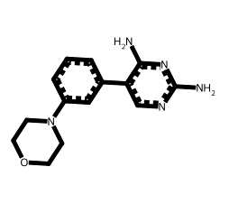 Nc1ncc(-c2cccc(N3CCOCC3)c2)c(N)n1